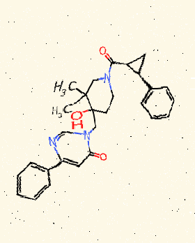 CC1(C)CN(C(=O)[C@H]2C[C@H]2c2ccccc2)CCC1(O)Cn1cnc(-c2ccccc2)cc1=O